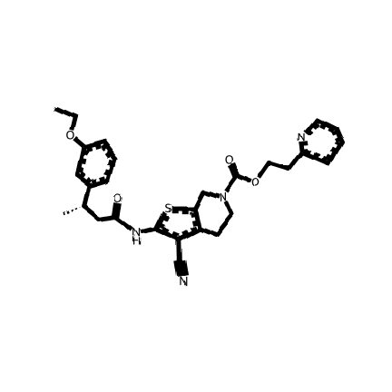 CCOc1cccc([C@@H](C)CC(=O)Nc2sc3c(c2C#N)CCN(C(=O)OCCc2ccccn2)C3)c1